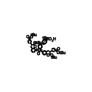 CC(C)(C)OC(=O)[C@@H](Cc1cccc(-n2c(=O)n(-c3cccc(C[C@H](C(=O)OC(C)(C)C)[C@H]4CCN(C(=O)OC(C)(C)C)C4)c3)c3cc(N4CCN(C(=O)O)C(C(C)(C)C)C4)ccc32)c1)[C@H]1CCN(C(=O)OC(C)(C)C)C1